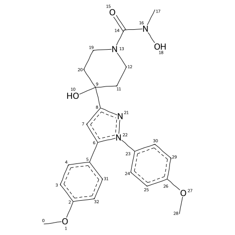 COc1ccc(-c2cc(C3(O)CCN(C(=O)N(C)O)CC3)nn2-c2ccc(OC)cc2)cc1